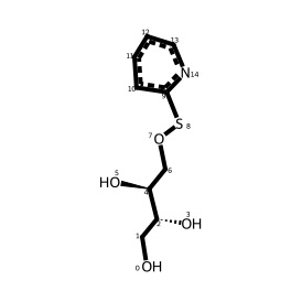 OC[C@@H](O)[C@@H](O)COSc1ccccn1